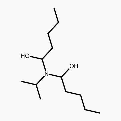 CCCCC(O)N(C(C)C)C(O)CCCC